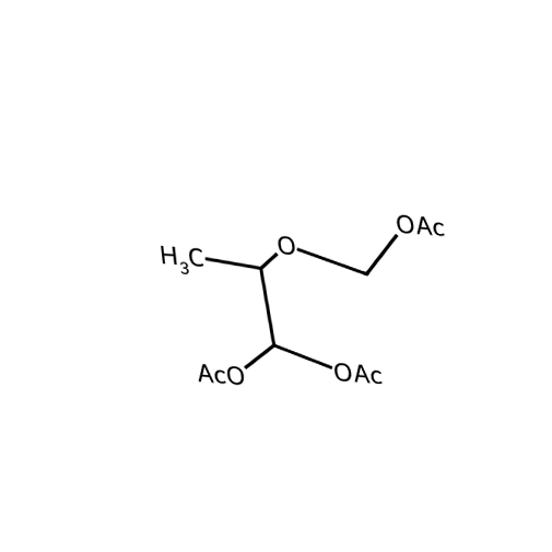 CC(=O)OCOC(C)C(OC(C)=O)OC(C)=O